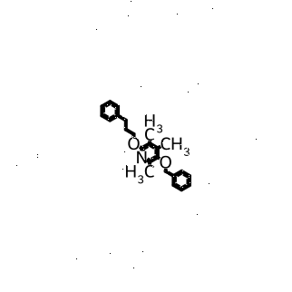 Cc1nc(OCCCc2ccccc2)c(C)c(C)c1OCc1ccccc1